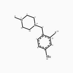 CN1CCN(Cc2ccc(C(C)(C)C)cc2F)CC1